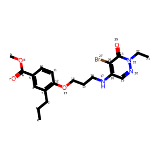 CCCc1cc(C(=O)OC)ccc1OCCCNc1cnn(CC)c(=O)c1Br